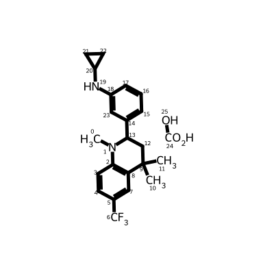 CN1c2ccc(C(F)(F)F)cc2C(C)(C)CC1c1cccc(NC2CC2)c1.O=C(O)O